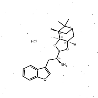 CC1(C)C2C[C@H]3OB([C@@H](N)Cc4coc5ccccc45)O[C@@]3(C)[C@H]1C2.Cl